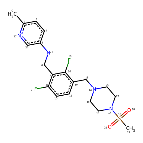 Cc1ccc([N]Cc2c(F)ccc(CN3CCN(S(C)(=O)=O)CC3)c2F)cn1